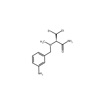 CCC(CC)[C@@H](C(N)=O)N(C)Cc1cccc(N)c1